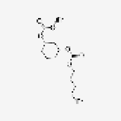 CC(C)CCCCOC(=O)OC1CCCC(OC(=O)OC(C)C)C1